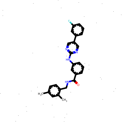 Cc1ccc(CNC(=O)c2cccc(Nc3ncc(-c4cccc(F)c4)cn3)c2)c(C)c1